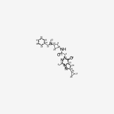 Cc1nn(CC(=O)N[C@H]2C[C@H](N(C)Cc3ccccc3)C2)c(=O)c2cc(C3CC3)nn12